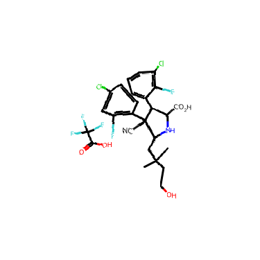 CC(C)(CCO)CC1NC(C(=O)O)C(c2cccc(Cl)c2F)C1(C#N)c1ccc(Cl)cc1F.O=C(O)C(F)(F)F